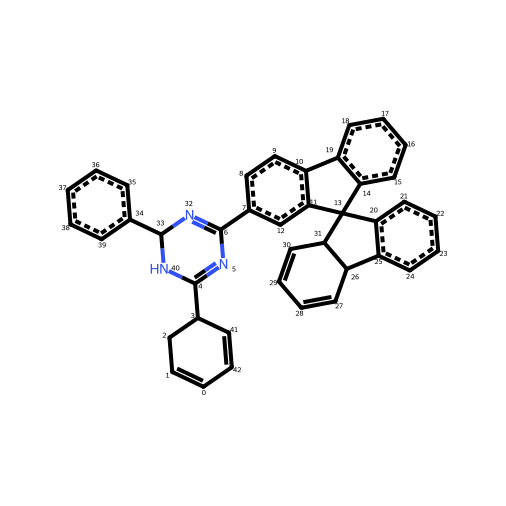 C1=CCC(C2=NC(c3ccc4c(c3)C3(c5ccccc5-4)c4ccccc4C4C=CC=CC43)=NC(c3ccccc3)N2)C=C1